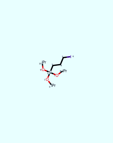 CC(C)O[Si](CCCI)(OC(C)C)OC(C)C